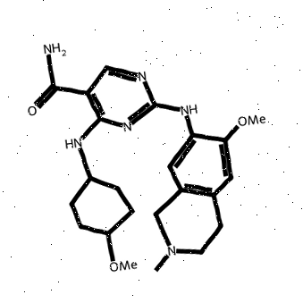 COc1cc2c(cc1Nc1ncc(C(N)=O)c(NC3CCC(OC)CC3)n1)CN(C)CC2